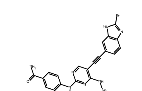 CCCNc1nc(Nc2ccc(C(N)=O)cc2)ncc1C#Cc1ccc2nc(CC)[nH]c2c1